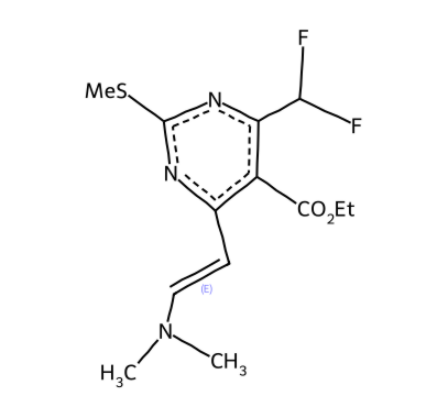 CCOC(=O)c1c(/C=C/N(C)C)nc(SC)nc1C(F)F